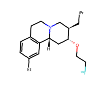 CCc1ccc2c(c1)[C@H]1C[C@@H](OCC[18F])[C@H](CC(C)C)CN1CC2